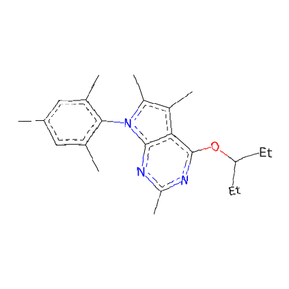 CCC(CC)Oc1nc(C)nc2c1c(C)c(C)n2-c1c(C)cc(C)cc1C